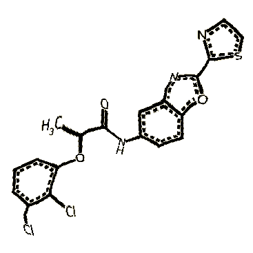 CC(Oc1cccc(Cl)c1Cl)C(=O)Nc1ccc2oc(-c3nccs3)nc2c1